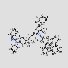 c1ccc(-c2ccc(N(c3ccc(-c4ccc5c(c4)n4c6ccccc6nc4n5-c4ccccc4)cc3)c3ccc4c(c3)-c3ccccc3C43c4ccccc4-c4ccccc43)cc2)cc1